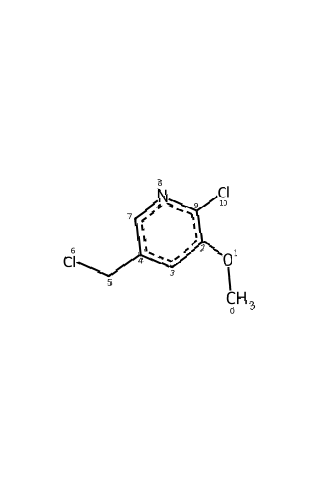 COc1cc(CCl)cnc1Cl